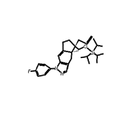 C=CC[C@]1(CO[Si](C(C)C)(C(C)C)C(C)C)CCC2=Cc3c(cnn3-c3ccc(F)cc3)C[C@@]21C